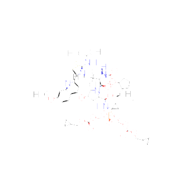 C=C[C@@H]1C[C@]1(NC(=O)C1C[C@@H](Oc2cc(-c3csc(NC(C)C)n3)nc3cc(OC)ccc23)CN1C(=O)C(NC(=O)OC1CCCC1)C(C)(C)C)P(=O)(OCOC(=O)OCC1CC1)OCOC(=O)OCC1CC1